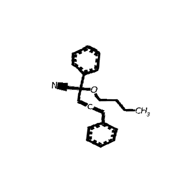 CCCCOC(C#N)(C=C=Cc1ccccc1)c1ccccc1